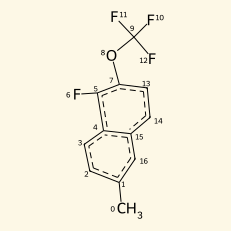 Cc1ccc2c(F)c(OC(F)(F)F)ccc2c1